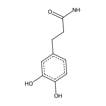 [NH]C(=O)CCc1ccc(O)c(O)c1